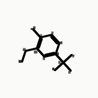 [CH2]c1ccc(C(C)(C)C)cc1CC